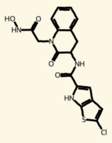 O=C(CN1C(=O)C(NC(=O)c2cc3cc(Cl)sc3[nH]2)Cc2ccccc21)NO